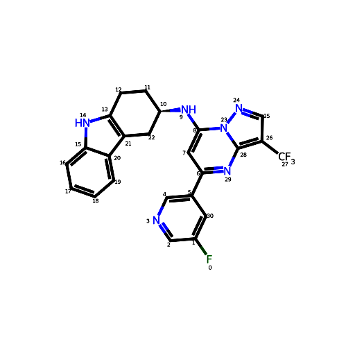 Fc1cncc(-c2cc(N[C@@H]3CCc4[nH]c5ccccc5c4C3)n3ncc(C(F)(F)F)c3n2)c1